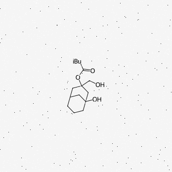 CCC(C)C(=O)OC1(CO)CC2CCCC(O)(C2)C1